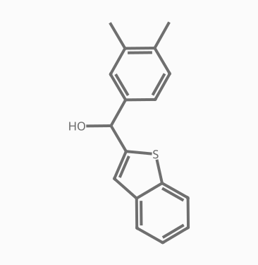 Cc1ccc(C(O)c2cc3ccccc3s2)cc1C